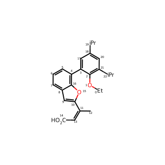 CCOc1c(-c2cccc3cc(/C(C)=C\C(=O)O)oc23)cc(C(C)C)cc1C(C)C